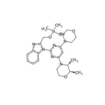 C[C@H]1OCCN(c2cc(N3CCOCC3)nc(-n3c(CO[Si](C)(C)C(C)(C)C)nc4ccccc43)n2)[C@H]1C